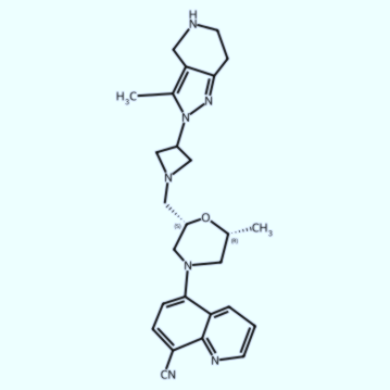 Cc1c2c(nn1C1CN(C[C@H]3CN(c4ccc(C#N)c5ncccc45)C[C@@H](C)O3)C1)CCNC2